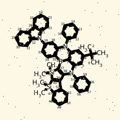 CC(C)(C)c1cc2c3c(c1)N(c1ccccc1)c1cc(-n4c5ccccc5c5ccccc54)ccc1B3C1=C(C3=C([Si]1(C)C)[Si](C)(C)c1ccccc13)N2c1ccccc1